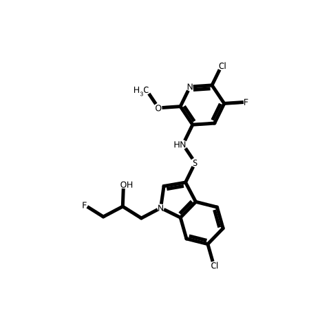 COc1nc(Cl)c(F)cc1NSc1cn(CC(O)CF)c2cc(Cl)ccc12